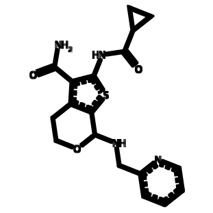 NC(=O)c1c(NC(=O)C2CC2)sc2c1CCOC2NCc1ccccn1